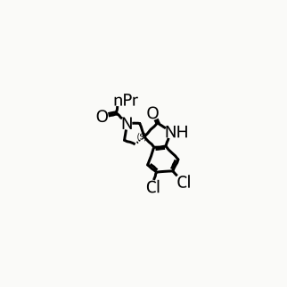 CCCC(=O)N1CC[C@]2(C1)C(=O)Nc1cc(Cl)c(Cl)cc12